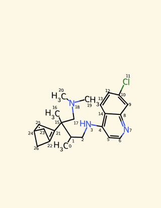 CC(CNc1ccnc2cc(Cl)ccc12)C(C)(CN(C)C)C1=C2CC(=C1)C2